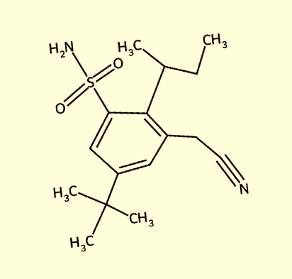 CCC(C)c1c(CC#N)cc(C(C)(C)C)cc1S(N)(=O)=O